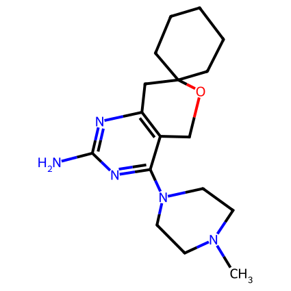 CN1CCN(c2nc(N)nc3c2COC2(CCCCC2)C3)CC1